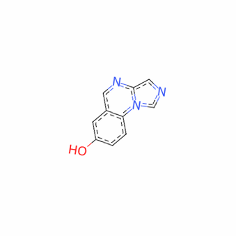 Oc1ccc2c(cnc3cncn32)c1